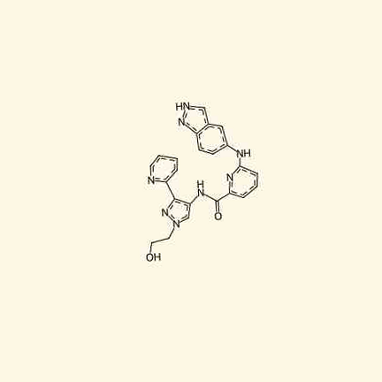 O=C(Nc1cn(CCO)nc1-c1ccccn1)c1cccc(Nc2ccc3n[nH]cc3c2)n1